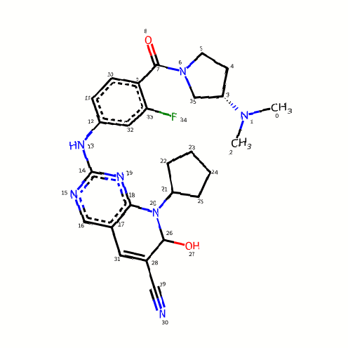 CN(C)[C@H]1CCN(C(=O)c2ccc(Nc3ncc4c(n3)N(C3CCCC3)C(O)C(C#N)=C4)cc2F)C1